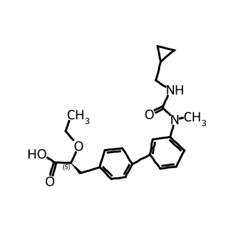 CCO[C@@H](Cc1ccc(-c2cccc(N(C)C(=O)NCC3CC3)c2)cc1)C(=O)O